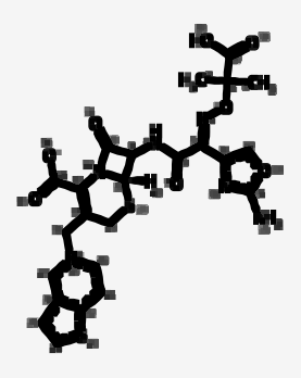 CC(C)(ON=C(C(=O)NC1C(=O)N2C(C(=O)[O-])=C(C[n+]3ccc4sccc4c3)CS[C@@H]12)c1coc(N)n1)C(=O)O